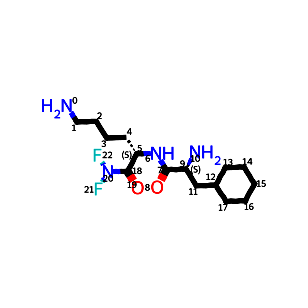 NCCCC[C@H](NC(=O)[C@@H](N)CC1CCCCC1)C(=O)N(F)F